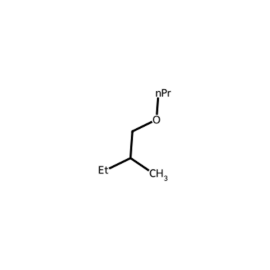 [CH2]CC(C)COCCC